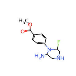 COC(=O)c1ccc(N2C(N)CNCC2F)cc1